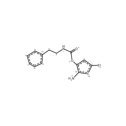 CCc1cc(OC(=O)NCCc2ccccc2)c(N)s1